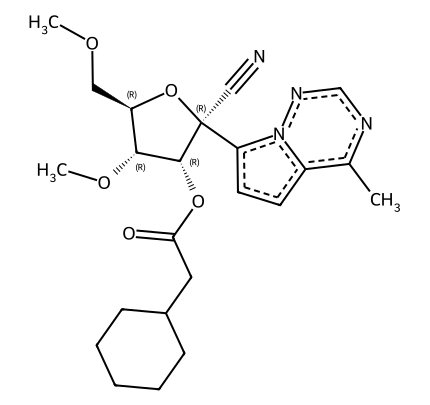 COC[C@H]1O[C@@](C#N)(c2ccc3c(C)ncnn23)[C@H](OC(=O)CC2CCCCC2)[C@@H]1OC